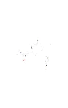 COc1c(N=C=S)cc(C(N)=O)c(F)c1F